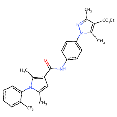 CCOC(=O)c1c(C)nn(-c2ccc(NC(=O)c3cc(C)n(-c4ccccc4C(F)(F)F)c3C)cc2)c1C